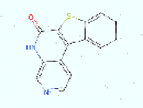 O=c1[nH]c2cnccc2c2c1sc1ccccc12